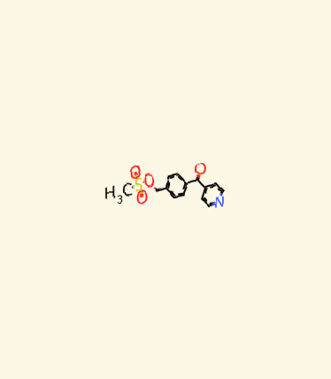 CS(=O)(=O)OCc1ccc(C(=O)c2ccncc2)cc1